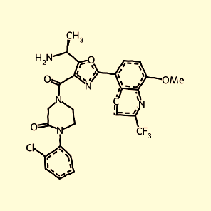 COc1ccc(-c2nc(C(=O)N3CCN(c4ccccc4Cl)C(=O)C3)c([C@H](C)N)o2)c2ccc(C(F)(F)F)nc12